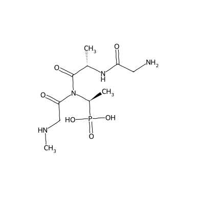 CNCC(=O)N(C(=O)[C@H](C)NC(=O)CN)[C@@H](C)P(=O)(O)O